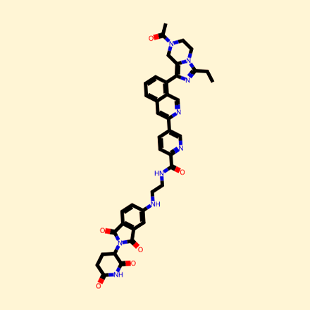 CCc1nc(-c2cccc3cc(-c4ccc(C(=O)NCCNc5ccc6c(c5)C(=O)N(C5CCC(=O)NC5=O)C6=O)nc4)ncc23)c2n1CCN(C(C)=O)C2